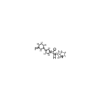 O=C(NC1CC2CCN(C2)C1)n1ccc(-c2cccc(F)c2)c1